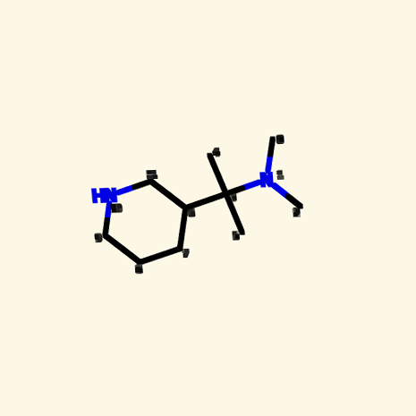 CN(C)C(C)(C)C1CCCNC1